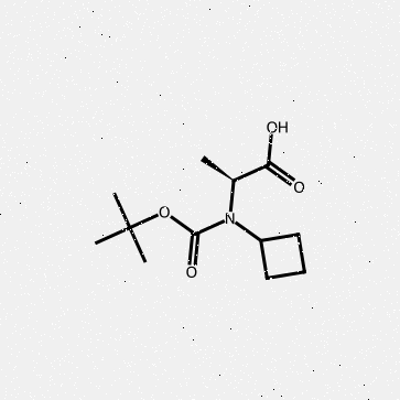 C[C@@H](C(=O)O)N(C(=O)OC(C)(C)C)C1CCC1